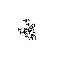 CC1[C@H](c2c(O)ccc(Cl)c2Cl)CC(=O)N1CCO